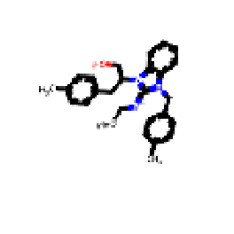 COC/N=c1/n(Cc2ccc(C)cc2)c2ccccc2n1C(CO)Cc1ccc(C)cc1